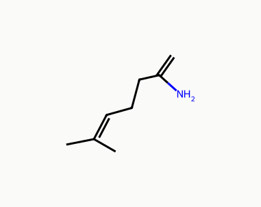 C=C(N)CCC=C(C)C